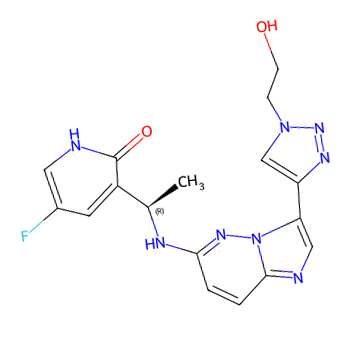 C[C@@H](Nc1ccc2ncc(-c3cn(CCO)nn3)n2n1)c1cc(F)c[nH]c1=O